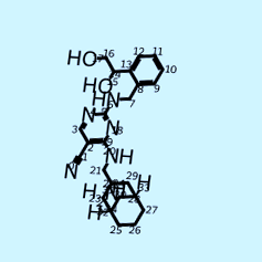 N#Cc1cnc(NCc2ccccc2C(O)CO)nc1NCC1C[C@H]2CCC[C@@H](C1)[C@@H]2N